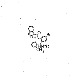 Cc1ccccc1C1NC(=O)c2cc(Br)cc(NC(=O)c3nsc4ccccc34)c21